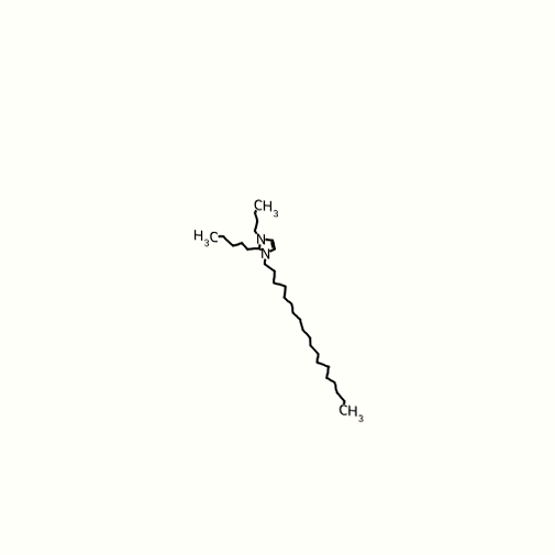 CCCCCCCCCCCCCCCCCCCN1C=CN(CCCC)C1CCCCC